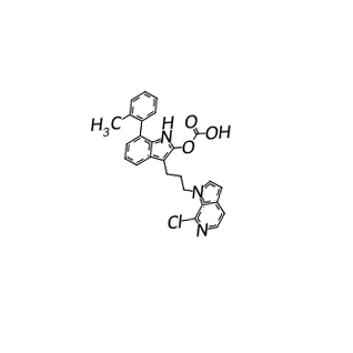 Cc1ccccc1-c1cccc2c(CCCn3ccc4ccnc(Cl)c43)c(OC(=O)O)[nH]c12